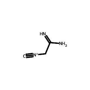 [C-]#[N+]CC(=N)N